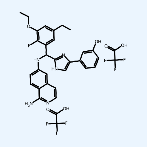 CCOc1cc(CC)cc(C(Nc2ccc3c(N)nccc3c2)c2nc(-c3cccc(O)c3)c[nH]2)c1F.O=C(O)C(F)(F)F.O=C(O)C(F)(F)F